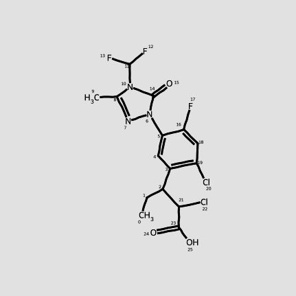 CCC(c1cc(-n2nc(C)n(C(F)F)c2=O)c(F)cc1Cl)C(Cl)C(=O)O